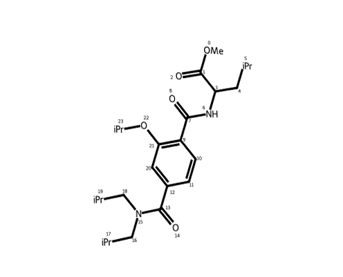 COC(=O)C(CC(C)C)NC(=O)c1ccc(C(=O)N(CC(C)C)CC(C)C)cc1OC(C)C